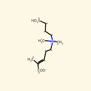 CC(=CCC[N+](C)(C)CCCS(=O)(=O)O)C(=O)[O-]